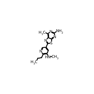 CCCc1ncc(-c2nc3c(C)nc(N)nc3s2)cc1NC